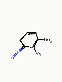 [N-]=[N+]=C1CC=[C]C([N+](=O)[O-])=C1[N+](=O)[O-]